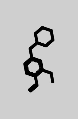 C=Cc1ccc(CC2CCCCC2)cc1CC